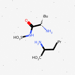 CC(C)CC(N)C(=O)O.CC[C@@H](C)[C@H](N)C(=O)NS(=O)(=O)O